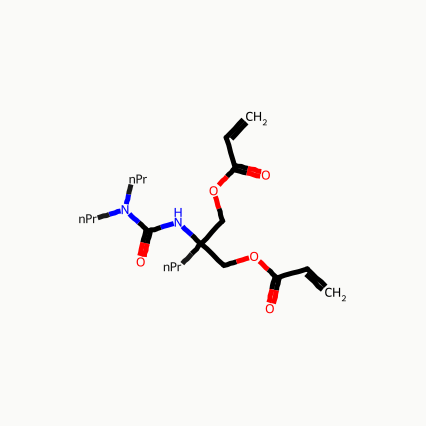 C=CC(=O)OCC(CCC)(COC(=O)C=C)NC(=O)N(CCC)CCC